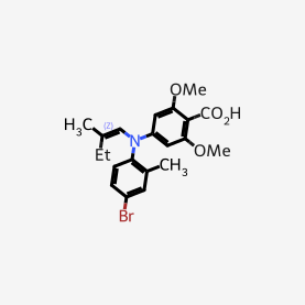 CC/C(C)=C\N(c1cc(OC)c(C(=O)O)c(OC)c1)c1ccc(Br)cc1C